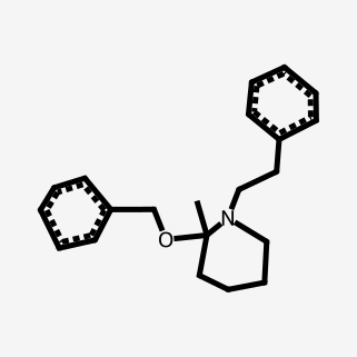 CC1(OCc2ccccc2)CCCCN1CCc1ccccc1